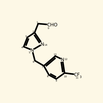 O=CCc1ccn(Cc2ccc(C(F)(F)F)nc2)n1